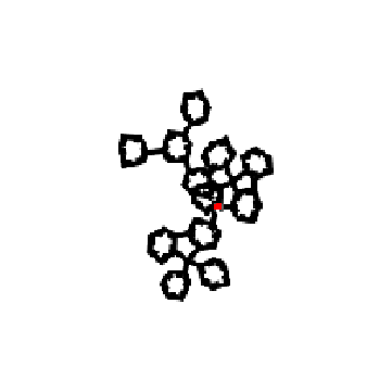 c1ccc(-c2cc(-c3ccccc3)cc(-c3ccc(N(c4ccc5c(c4)-c4ccccc4C5(c4ccccc4)c4ccccc4)c4cccc5c4C4(c6ccccc6-c6ccccc64)c4ccccc4-5)cc3)c2)cc1